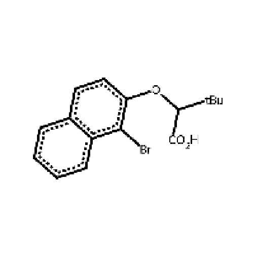 CC(C)(C)C(Oc1ccc2ccccc2c1Br)C(=O)O